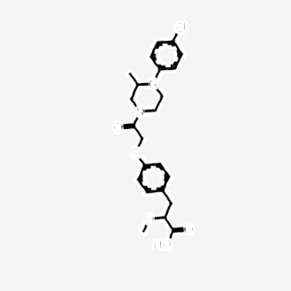 COC(Cc1ccc(OCC(=O)N2CCN(c3ccc(Cl)cc3)C(C)C2)cc1)C(=O)O